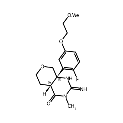 COCCOc1ccc(F)c([C@]23COCC[C@H]2C(=O)N(C)C(=N)N3)c1